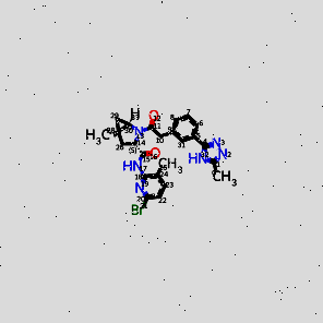 Cc1nnc(-c2cccc(CC(=O)N3[C@H](C(=O)Nc4nc(Br)ccc4C)C[C@@]4(C)C[C@@H]34)c2)[nH]1